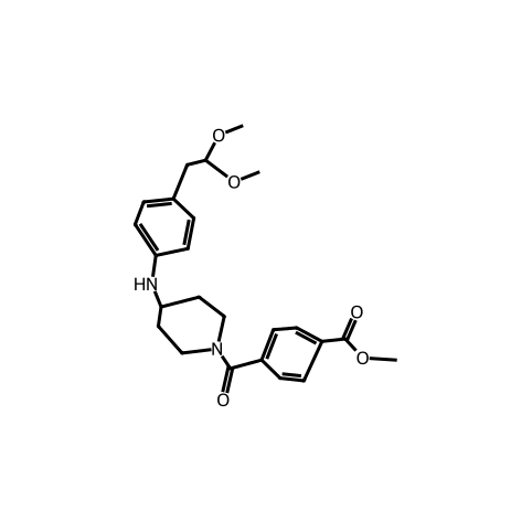 COC(=O)c1ccc(C(=O)N2CCC(Nc3ccc(CC(OC)OC)cc3)CC2)cc1